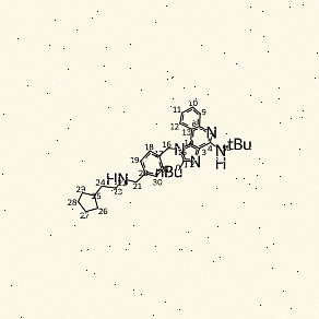 CCCCc1nc2c(NC(C)(C)C)nc3ccccc3c2n1Cc1ccc(CNCCC2CCCC2)cc1